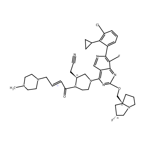 CN1CCN(C/C=C/C(=O)N2CCN(c3nc(OC[C@@]45CCCN4C[C@H](F)C5)nc4c(F)c(-c5cccc(Cl)c5C5CC5)ncc34)C[C@@H]2CC#N)CC1